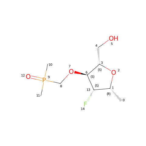 C[C@H]1O[C@@H](CO)[C@H](OCP(C)(C)=O)[C@H]1F